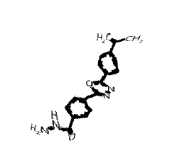 C=C(C)c1ccc(-c2nnc(-c3ccc(C(=O)NN)cc3)o2)cc1